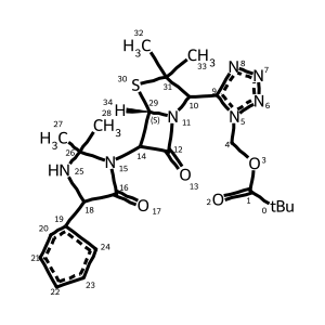 CC(C)(C)C(=O)OCn1nnnc1C1N2C(=O)C(N3C(=O)C(c4ccccc4)NC3(C)C)[C@@H]2SC1(C)C